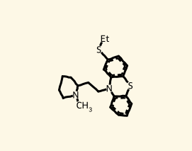 CCSc1ccc2c(c1)N(CCC1CCCCN1C)c1ccccc1S2